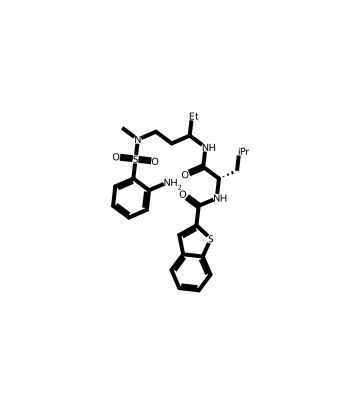 CCC(CCN(C)S(=O)(=O)c1ccccc1N)NC(=O)[C@H](CC(C)C)NC(=O)c1cc2ccccc2s1